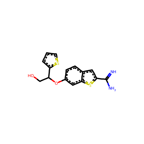 N=C(N)c1cc2ccc(OC(CO)c3cccs3)cc2s1